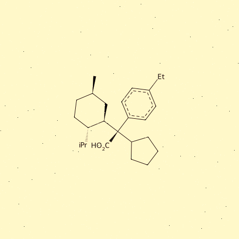 CCc1ccc([C@](C(=O)O)(C2CCCC2)[C@@H]2C[C@H](C)CC[C@H]2C(C)C)cc1